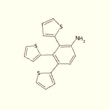 Nc1ccc(-c2cccs2)c(-c2cccs2)c1-c1cccs1